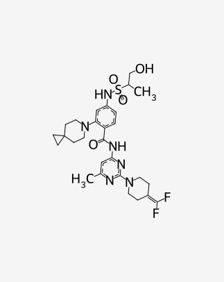 Cc1cc(NC(=O)c2ccc(NS(=O)(=O)C(C)CO)cc2N2CCC3(CC2)CC3)nc(N2CCC(=C(F)F)CC2)n1